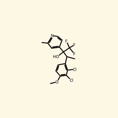 COc1ccc(C(C)C(O)(c2ccnc(C)c2)C(F)(F)F)c(Cl)c1Cl